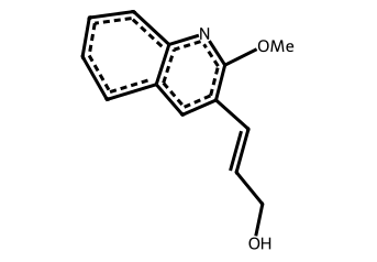 COc1nc2ccccc2cc1C=CCO